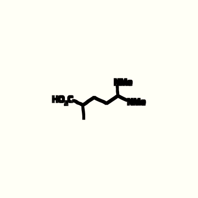 CNC(CCC(C)C(=O)O)NC